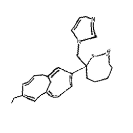 Cc1ccc2cc(C3(Cn4ccnc4)CCCSS3)ccc2c1